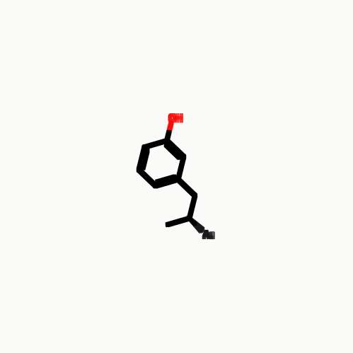 CC(=O)[C@@H](C)Cc1cccc(O)c1